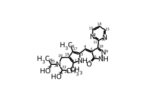 Cc1[nH]c(C=C2C(=O)NN=C2c2ncccn2)c(C)c1CN(C(C)O)C(C)O